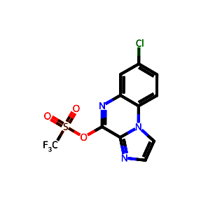 O=S(=O)(Oc1nc2cc(Cl)ccc2n2ccnc12)C(F)(F)F